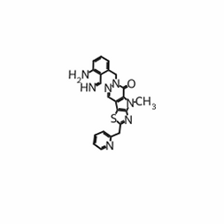 Cn1c2nc(Cc3ccccn3)sc2c2cnn(Cc3cccc(N)c3C=N)c(=O)c21